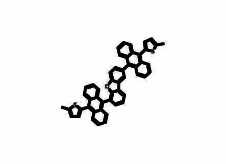 Cc1ccc(-c2c3ccccc3c(-c3ccc4oc5c(-c6c7ccccc7c(-c7ccc(C)s7)c7ccccc67)cccc5c4c3)c3ccccc23)s1